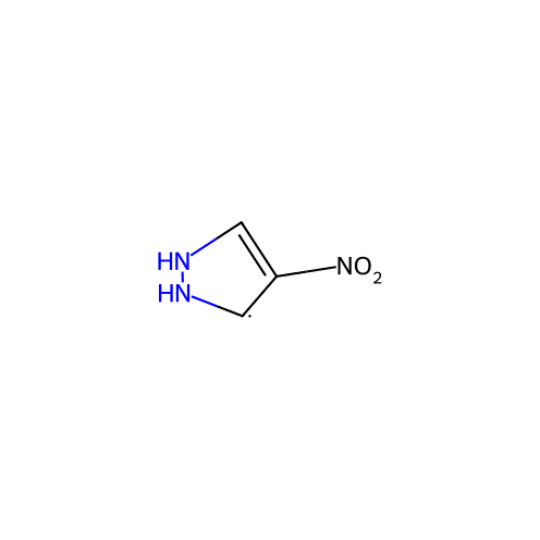 O=[N+]([O-])C1=CNN[CH]1